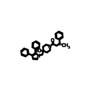 C[C@H](CC(=O)N1CCC(O)(Cn2ccc(-c3ccccc3)c2-c2ccccc2)CC1)c1ccccc1